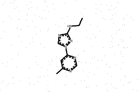 CCNc1ncn(-c2cc(C)ncn2)n1